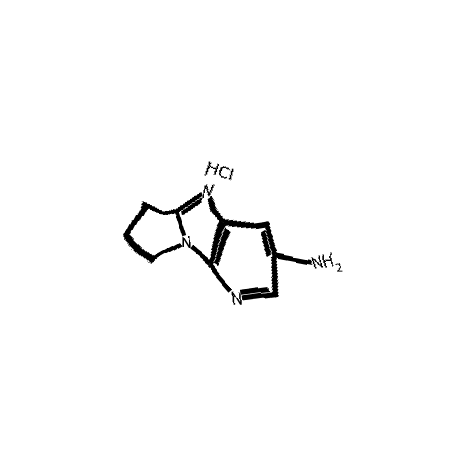 Cl.Nc1cnc2c(c1)nc1n2CCC1